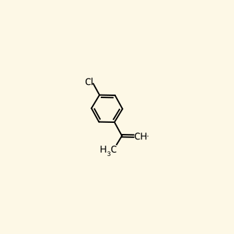 [CH]=C(C)c1ccc(Cl)cc1